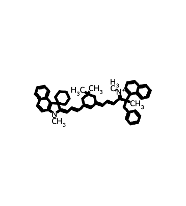 CN1/C(=C/C=C/C2=CC(=C/C=C/C3=[N+](C)c4ccc5ccccc5c4C3(C)Cc3ccccc3)/CC(C)(C)C2)C2(CCCCC2)c2c1ccc1ccccc21